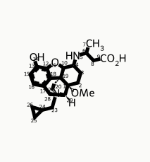 CO[C@@]12CCC(NC(C)CC(=O)O)C3Oc4c(O)ccc5c4[C@@]31CCN(CC1CC1)[C@@H]2C5